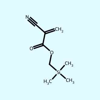 C=C(C#N)C(=O)OC[Si](C)(C)C